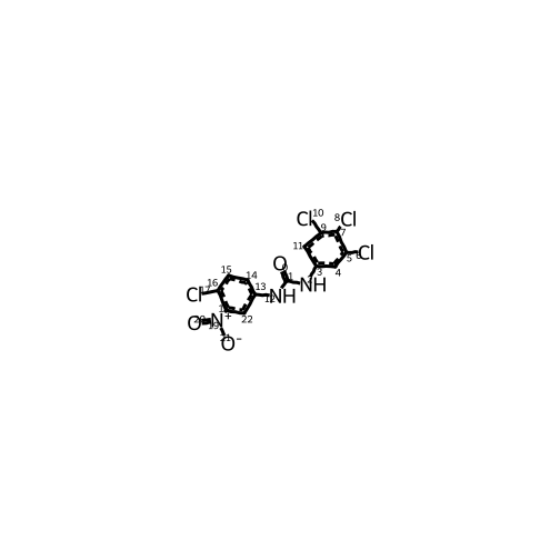 O=C(Nc1cc(Cl)c(Cl)c(Cl)c1)Nc1ccc(Cl)c([N+](=O)[O-])c1